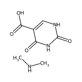 CNC.O=C(O)c1c[nH]c(=O)[nH]c1=O